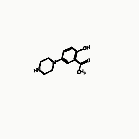 CC(=O)c1cc(N2CCNCC2)ccc1O